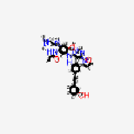 C=CC(=O)Nc1cc(Nc2cc(N3OCC[C@@H]3c3cccc(C#Cc4cccc(O)c4)c3)ncn2)c(OC)cc1N(C)CCN(C)C